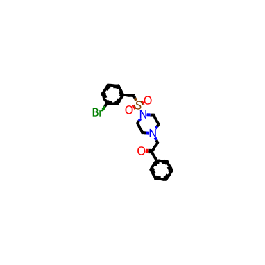 O=C(CN1CCN(S(=O)(=O)Cc2cccc(Br)c2)CC1)c1ccccc1